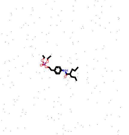 CCCC(CCC)C(=O)Nc1ccc(CCOP(=O)(OCC)OCC)cc1